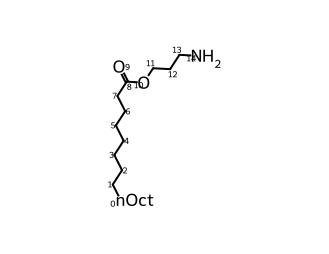 CCCCCCCCCCCCCCCC(=O)OCCCN